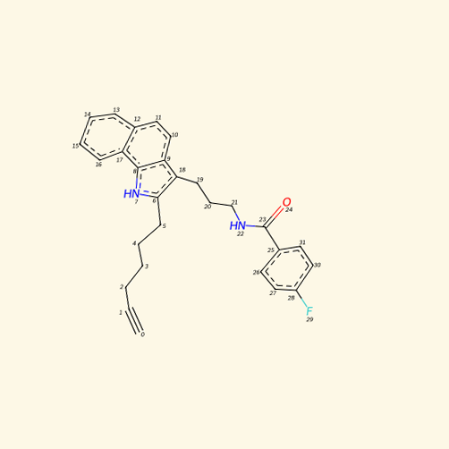 C#CCCCCc1[nH]c2c(ccc3ccccc32)c1CCCNC(=O)c1ccc(F)cc1